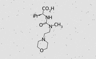 CC(C)[C@H](NC(=O)N(C)CCN1CCOCC1)C(=O)O